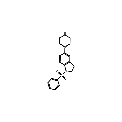 O=S(=O)(c1ccccc1)N1CCc2cc(N3CCNCC3)ccc21